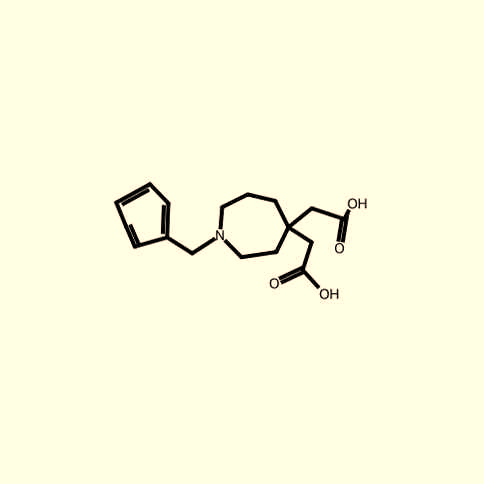 O=C(O)CC1(CC(=O)O)CCCN(Cc2ccccc2)CC1